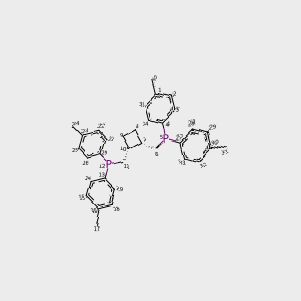 Cc1ccc(P(C[C@H]2CC[C@H]2CP(c2ccc(C)cc2)c2ccc(C)cc2)c2ccc(C)cc2)cc1